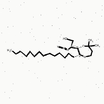 CCCCCCCCCCCCCC[C@H]1OCCC(C)(C)O[C@H]1[C@H](CO)N=[N+]=[N-]